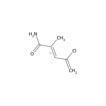 C=C(Cl)/C=C(\C)C(N)=O